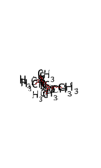 CCCCCCc1cc(C2=CC3=C(C2)c2sc(-c4ccc(-c5cc6c(s5)-c5sc(C)cc5[Si]6(CCCCCC)CCCCCC)c5nsnc45)cc2[Si]3(CCCCCC)CCCCCC)sc1C